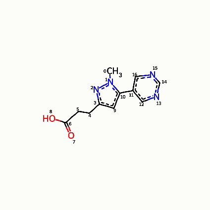 Cn1nc(CCC(=O)O)cc1-c1cncnc1